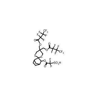 O=C(OCC1(COC(=O)C(F)(F)C(F)(F)C(F)(F)F)CSC2(SC1)C1CCC(C1)C2OC(=O)C(F)(F)S(=O)(=O)O)C(F)(F)C(F)(F)C(F)(F)F